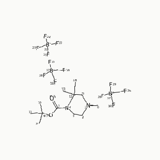 CN1CCN(C(=O)OC(C)(C)C)C(C)(C)C1.F[B-](F)(F)F.F[B-](F)(F)F.F[B-](F)(F)F